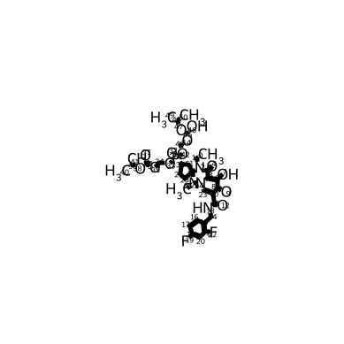 CCN1C(=O)c2c(O)c(=O)c(C(=O)NCc3ccc(F)cc3F)cn2N(C)C12CCC(P(=O)(OCOC(=O)OC(C)C)OCOC(O)OC(C)C)C2